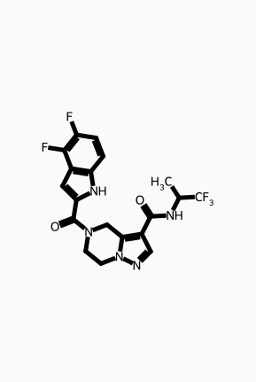 CC(NC(=O)c1cnn2c1CN(C(=O)c1cc3c(F)c(F)ccc3[nH]1)CC2)C(F)(F)F